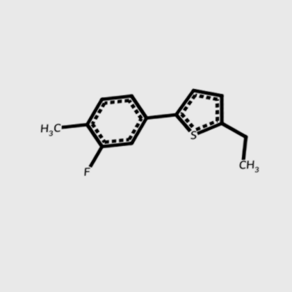 CCc1ccc(-c2ccc(C)c(F)c2)s1